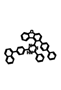 c1ccc(C2=NC(c3c(-c4ccc(-c5ccccc5)cc4)ccc4oc5ccccc5c34)=NC(c3ccc(-c4cccc5ccccc45)cc3)N2)cc1